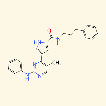 Cc1cnc(Nc2ccccc2)nc1-c1c[nH]c(C(=O)NCCCc2ccccc2)c1